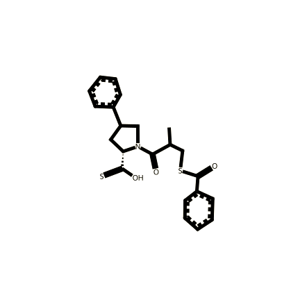 CC(CSC(=O)c1ccccc1)C(=O)N1CC(c2ccccc2)C[C@H]1C(O)=S